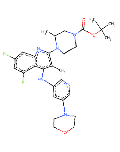 Cc1c(N2CCN(C(=O)OC(C)(C)C)CC2C)nc2cc(F)cc(F)c2c1Nc1cncc(N2CCOCC2)c1